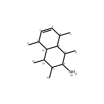 CC1C=CC(C)C2C(C)C(N)C(C)C(C)C12